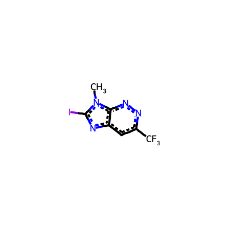 Cn1c(I)nc2cc(C(F)(F)F)nnc21